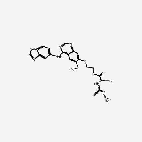 CC(C)C(NC(=O)OC(C)(C)C)C(=O)OCCOc1cc2ncnc(Nc3ccc4scnc4c3)c2cc1SC(C)(C)C